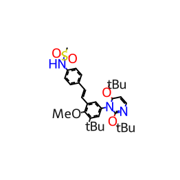 COc1c(/C=C/c2ccc(NS(C)(=O)=O)cc2)cc(N2C(OC(C)(C)C)=NC=CC2OC(C)(C)C)cc1C(C)(C)C